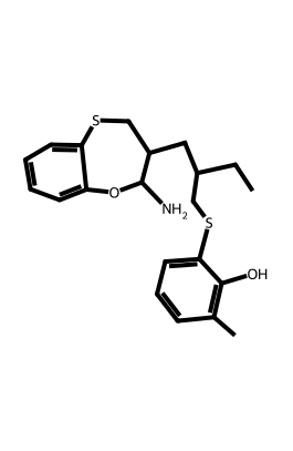 CCC(CSc1cccc(C)c1O)CC1CSc2ccccc2OC1N